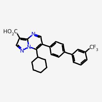 O=C(O)c1cnn2c(C3CCCCC3)c(-c3ccc(-c4cccc(C(F)(F)F)c4)cc3)cnc12